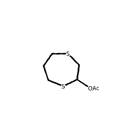 CC(=O)OC1CSCCCS1